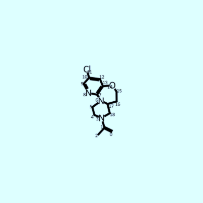 C=C(C)N1CCN2c3ncc(Cl)cc3OCCC2C1